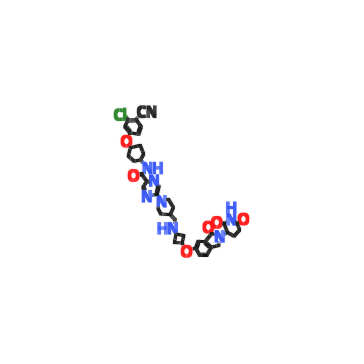 N#Cc1ccc(OC2CCC(NC(=O)c3cnc(N4CCC(CNC5CC(Oc6ccc7c(c6)C(=O)N([C@@H]6CCC(=O)NC6=O)C7)C5)CC4)cn3)CC2)cc1Cl